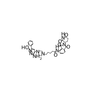 Nc1nnc(-c2ccccc2O)cc1N1CCN(CCCCC(=O)Nc2cccc3c2C(=O)N(C2CCC(=O)NC2=O)C3=O)CC1